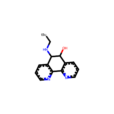 CC(C)(C)CNC1c2cccnc2-c2ncccc2C1O